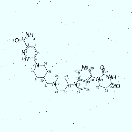 NC(=O)c1ccc(N2CCC(CN3CCC(n4ccc5c(N6CCC(=O)NC6=O)cncc54)CC3)CC2)nn1